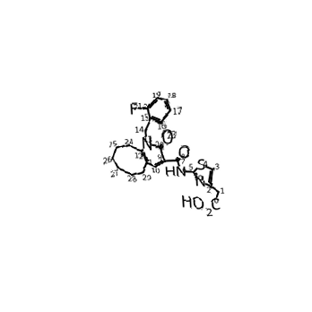 O=C(O)Cc1csc(NC(=O)c2cc3c(n(Cc4ccccc4F)c2=O)CCCCCC3)n1